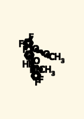 CCOCCCOC(c1cc(F)cc(F)c1F)C1CCCN(C(=O)NC(CNC)CC2CCC(F)(F)CC2)C1